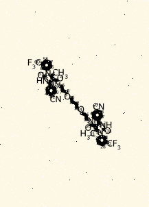 CC1=C(C(=O)NCCCOCCCCOCCCNC(=O)C2=C(C)N(c3cccc(C(F)(F)F)c3)C(=O)NC2c2ccc(C#N)cc2)C(c2ccc(C#N)cc2)NC(=O)N1c1cccc(C(F)(F)F)c1